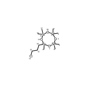 C[Si]1(C)O[Si](C)(C)O[Si](C)(CCCCl)O[Si](C)(C)O1